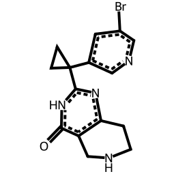 O=c1[nH]c(C2(c3cncc(Br)c3)CC2)nc2c1CNCC2